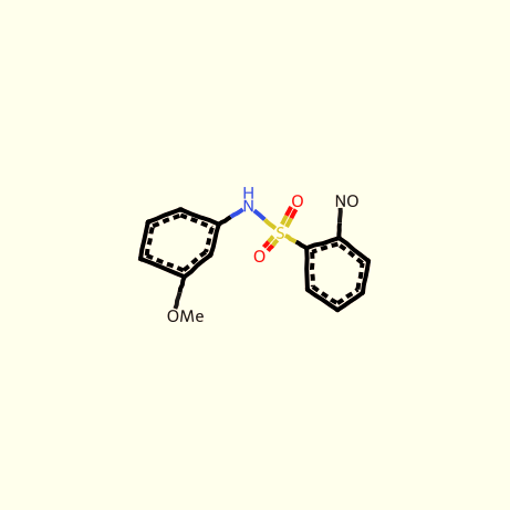 COc1cccc(NS(=O)(=O)c2ccccc2N=O)c1